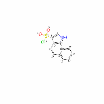 O=S(=O)(Cl)c1c[nH]c2c1ccc1ccccc12